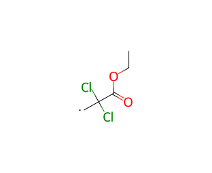 [CH2]C(Cl)(Cl)C(=O)OCC